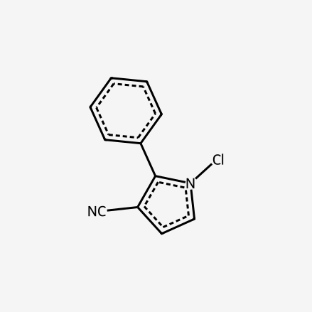 N#Cc1ccn(Cl)c1-c1ccccc1